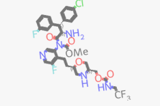 COC(=O)N(C(=O)[C@@H](N)[C@@H](c1ccc(Cl)cc1)c1cccc(F)c1)c1cncc(F)c1CC[C@@H]1CN[C@H](COC(=O)NCC(F)(F)F)CO1